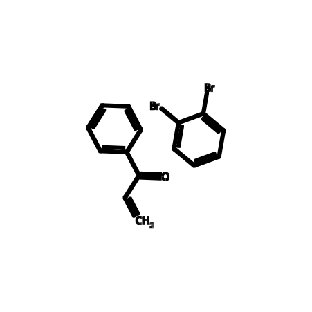 Brc1ccccc1Br.C=CC(=O)c1ccccc1